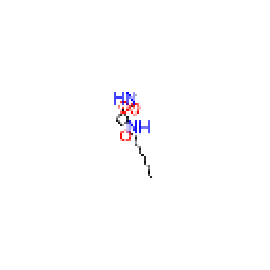 CCCCCCCCCC(=O)Nc1cccc(OC(=O)NC)c1